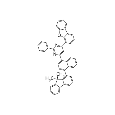 CC1(C)c2ccccc2-c2cccc(-c3ccc(-c4cc(-c5cccc6c5oc5ccccc56)nc(-c5ccccc5)n4)c4ccccc34)c21